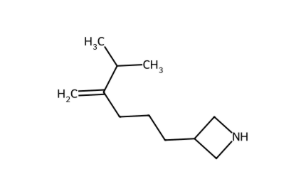 C=C(CCCC1CNC1)C(C)C